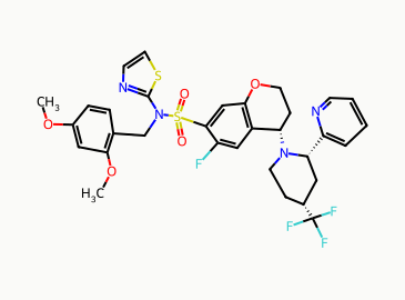 COc1ccc(CN(c2nccs2)S(=O)(=O)c2cc3c(cc2F)[C@@H](N2CC[C@@H](C(F)(F)F)C[C@H]2c2ccccn2)CCO3)c(OC)c1